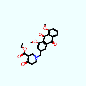 CCOC(=O)C1CN(CC2C=C(OC)C3=C(C2)C(=O)c2cccc(OC)c2C3=O)CCC1=O